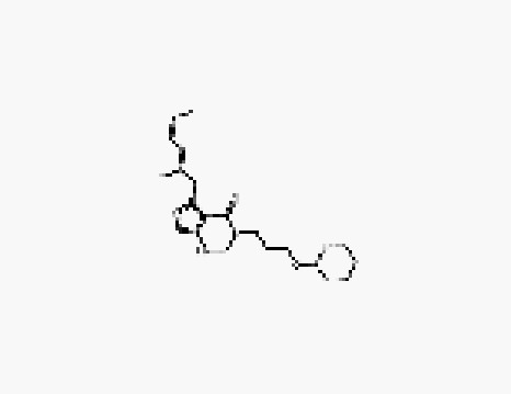 C/C=C\C=C(/CC)Cn1cnc2c1C(=O)N(CCCOC1CCCCO1)CN2